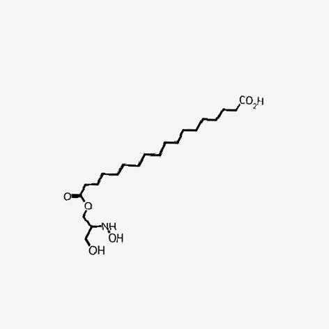 O=C(O)CCCCCCCCCCCCCCCCC(=O)OCC(CO)NO